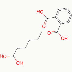 CCCCCC(O)O.O=C(O)c1ccccc1C(=O)O